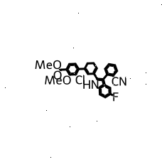 COC(=O)c1ccc(C2=CC(c3[nH]c4ccc(F)cc4c3-c3ccccc3C#N)=CCC2)c(Cl)c1OC